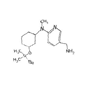 CN(c1ccc(CN)cn1)C1CCCC(O[Si](C)(C)C(C)(C)C)C1